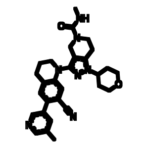 CNC(=O)N1CCc2c(c(N3CCCc4cc(-c5cncc(C)c5)c(C#N)cc43)nn2C2CCOCC2)C1